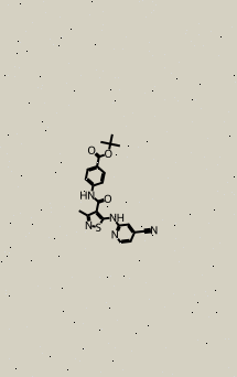 Cc1nsc(Nc2cc(C#N)ccn2)c1C(=O)Nc1ccc(C(=O)OC(C)(C)C)cc1